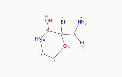 CCC(N)C1(CC)OCCNC1O